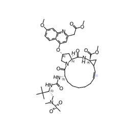 COC(=O)Cc1cc(O[C@@H]2C[C@H]3C(=O)N[C@]4(C(=O)OC)CC4/C=C\CCCCC[C@H](NC(=O)N[C@H](CN(C)S(C)(=O)=O)C(C)(C)C)C(=O)N3C2)c2ccc(OC)cc2n1